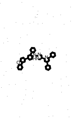 C1=C(c2cc(-c3ccccc3)cc(-c3ccccc3)n2)CNC(n2c3ccccc3c3cc(-c4ccc5oc6ccccc6c5c4)ccc32)=N1